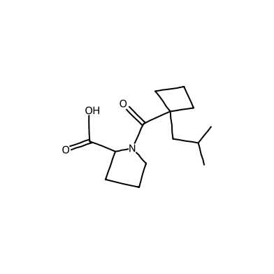 CC(C)CC1(C(=O)N2CCCC2C(=O)O)CCC1